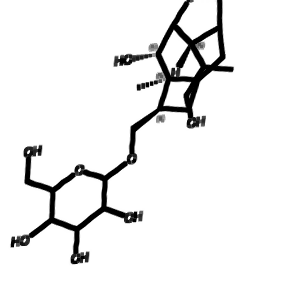 CC(CO)[C@H]1C2COC1[C@@H](O)[C@@]1(C)C(C2)C[C@H]1COC1OC(CO)C(O)C(O)C1O